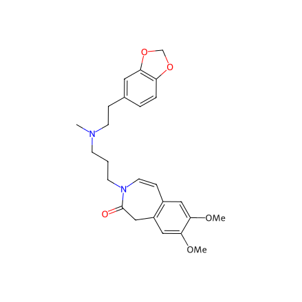 COc1cc2c(cc1OC)CC(=O)N(CCCN(C)CCc1ccc3c(c1)OCO3)C=C2